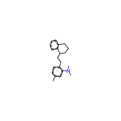 Cc1ccc(CCC2CCCc3ccccc32)c(N(C)C)c1